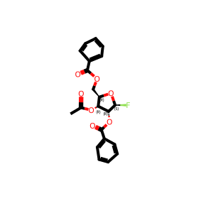 CC(=O)O[C@H]1[C@@H](OC(=O)c2ccccc2)[C@H](F)O[C@@H]1COC(=O)c1ccccc1